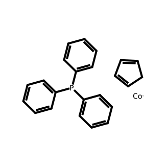 C1=CCC=C1.[Co].c1ccc(P(c2ccccc2)c2ccccc2)cc1